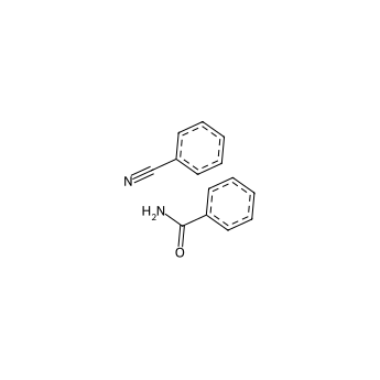 N#Cc1ccccc1.NC(=O)c1ccccc1